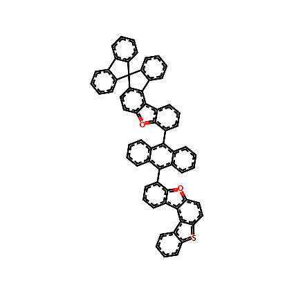 c1ccc2c(c1)-c1ccccc1C21c2ccccc2-c2c1ccc1oc3c(-c4c5ccccc5c(-c5cccc6c5oc5ccc7sc8ccccc8c7c56)c5ccccc45)cccc3c21